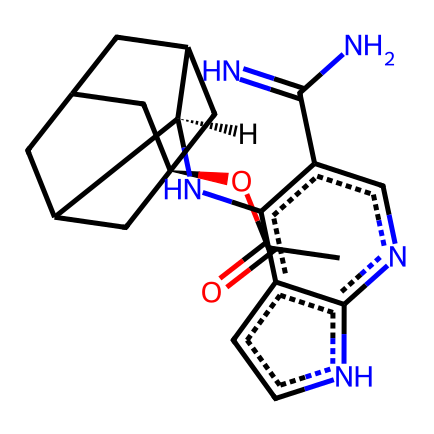 CC(=O)O[C@]12CC3CC(C1)[C@H](Nc1c(C(=N)N)cnc4[nH]ccc14)C(C3)C2